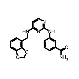 NC(=O)c1cccc(Nc2nccc(NCc3cccc4c3OCO4)n2)c1